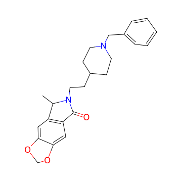 CC1c2cc3c(cc2C(=O)N1CCC1CCN(Cc2ccccc2)CC1)OCO3